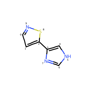 c1cc(-c2c[nH]cn2)sn1